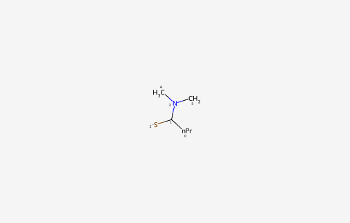 CCCC([S])N(C)C